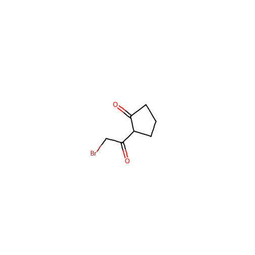 O=C(CBr)C1CCCC1=O